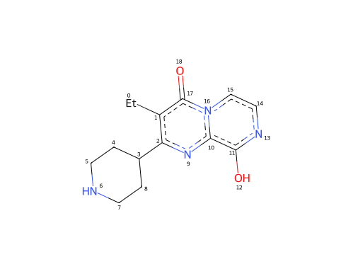 CCc1c(C2CCNCC2)nc2c(O)nccn2c1=O